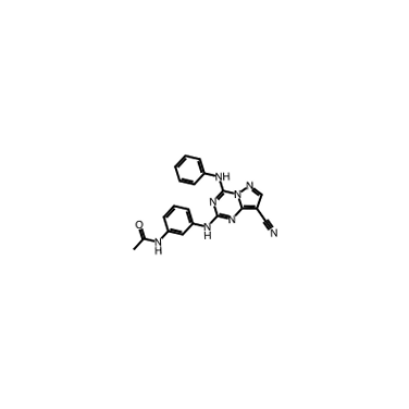 CC(=O)Nc1cccc(Nc2nc(Nc3ccccc3)n3ncc(C#N)c3n2)c1